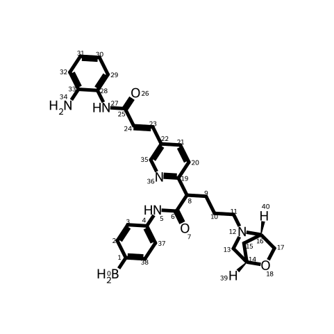 Bc1ccc(NC(=O)C(CCCN2C[C@@H]3C[C@H]2CO3)c2ccc(/C=C/C(=O)Nc3ccccc3N)cn2)cc1